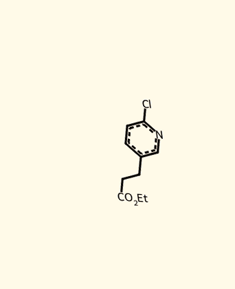 CCOC(=O)CCc1ccc(Cl)nc1